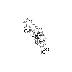 C[C@]12CCC(C(=O)O)=CC1=CC[C@@H]1[C@@H]2CC[C@]2(C)C(C(C=O)C3CCCCC3)CC[C@@H]12